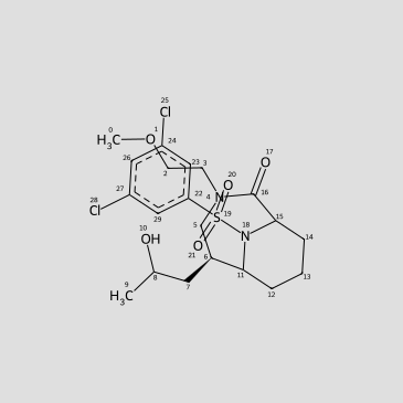 COCCN1C[C@H](CC(C)O)C2CCCC(C1=O)N2S(=O)(=O)c1cc(Cl)cc(Cl)c1